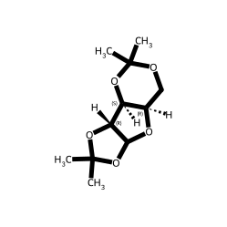 CC1(C)OC[C@H]2OC3OC(C)(C)O[C@@H]3[C@H]2O1